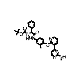 CNc1nccc(-c2cccnc2Oc2ccc(NC(=O)[C@H](NC(=O)OC(C)(C)C)c3ccccc3)cc2C)n1